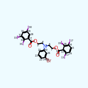 O=C(OCCN(CCOC(=O)c1c(I)ccc(I)c1I)c1cccc(Br)c1)c1cc(I)cc(I)c1I